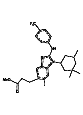 COC(=O)CCc1cc2nc(Nc3ccc(C(F)(F)F)cc3)n(C3CC(C)CC(C)(C)C3)c2cc1C